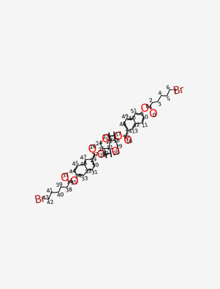 O=C(CCCCCBr)Oc1ccc2cc(C(=O)O[C@@H]3CO[C@H]4[C@@H]3OC[C@H]4OC(=O)c3ccc4cc(OC(=O)CCCCCBr)ccc4c3)ccc2c1